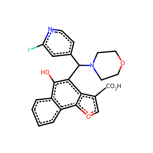 O=C(O)c1coc2c1c(C(c1ccnc(F)c1)N1CCOCC1)c(O)c1ccccc12